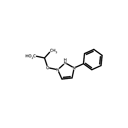 CC(ON1C=CN(c2ccccc2)N1)C(=O)O